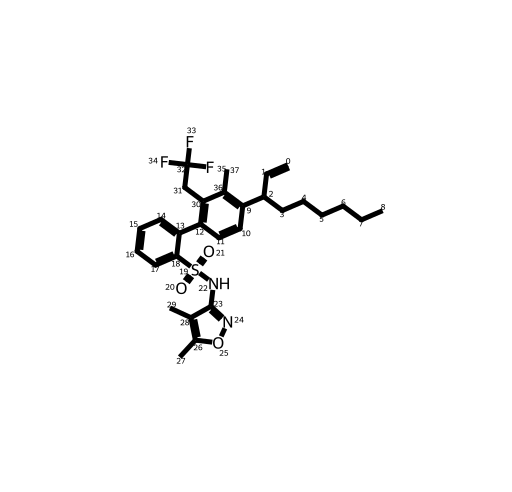 C=CC(CCCCCC)c1ccc(-c2ccccc2S(=O)(=O)Nc2noc(C)c2C)c(CC(F)(F)F)c1C